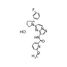 COc1cccc(C(=O)Nc2cnn3ccc(N4CCC[C@@H]4c4cccc(F)c4)nc23)n1.Cl